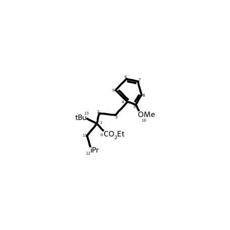 CCOC(=O)C(CCc1ccccc1OC)(CC(C)C)C(C)(C)C